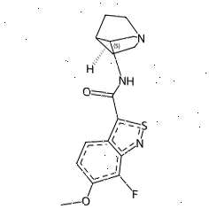 COc1ccc2c(C(=O)N[C@@H]3CN4CCC3CC4)snc2c1F